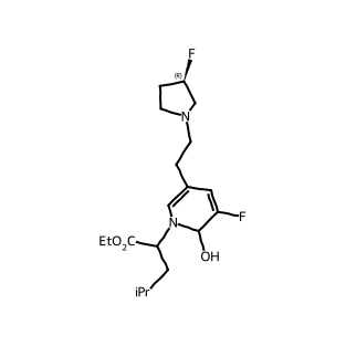 CCOC(=O)C(CC(C)C)N1C=C(CCN2CC[C@@H](F)C2)C=C(F)C1O